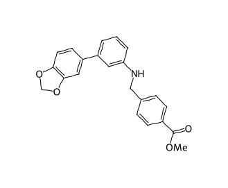 COC(=O)c1ccc(CNc2cccc(-c3ccc4c(c3)OCO4)c2)cc1